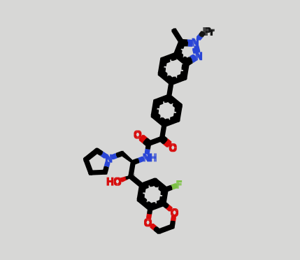 Cc1c2ccc(-c3ccc(C(=O)C(=O)N[C@H](CN4CCCC4)[C@H](O)c4cc(F)c5c(c4)OCCO5)cc3)cc2nn1C(C)C